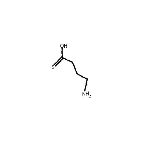 NCCCC(O)=S